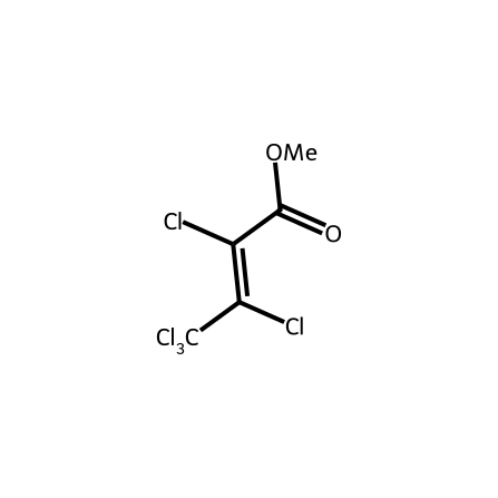 COC(=O)C(Cl)=C(Cl)C(Cl)(Cl)Cl